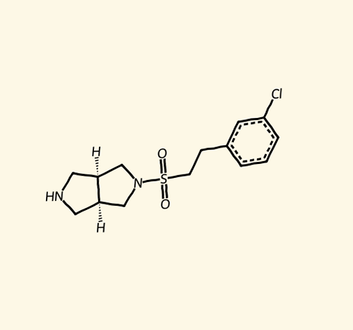 O=S(=O)(CCc1cccc(Cl)c1)N1C[C@H]2CNC[C@H]2C1